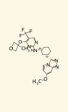 COc1ccn2c([C@H]3CCC[C@@H](Nc4ncc(C(F)(F)F)c(OC5(C)COC5)n4)C3)nnc2c1